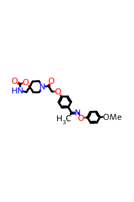 COc1ccc(ON=C(C)c2ccc(OCC(=O)N3CCC4(CC3)CNC(=O)O4)cc2)cc1